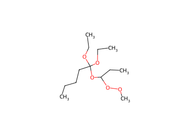 CCCCC(OCC)(OCC)OC(CC)OOC